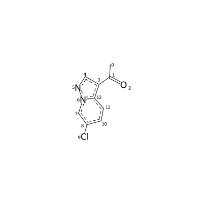 CC(=O)c1cnn2cc(Cl)ccc12